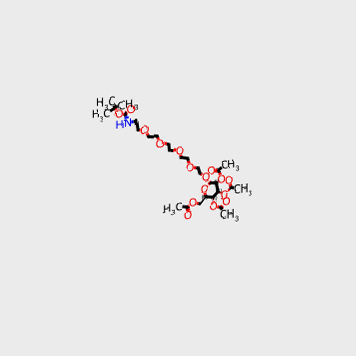 CC(=O)OC[C@H]1OC(OCCOCCOCCOCCOCCNC(=O)OC(C)(C)C)[C@@H](OC(C)=O)[C@@H](OC(C)=O)[C@@H]1OC(C)=O